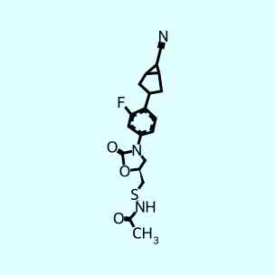 CC(=O)NSC[C@@H]1CN(c2ccc(C3CC4C(C#N)C4C3)c(F)c2)C(=O)O1